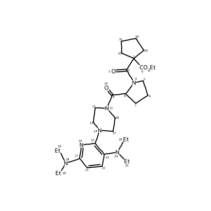 CCOC(=O)C1(C(=O)N2CCCC2C(=O)N2CCN(c3nc(N(CC)CC)ccc3N(CC)CC)CC2)CCCC1